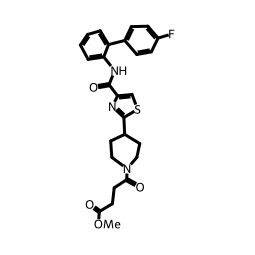 COC(=O)CCC(=O)N1CCC(c2nc(C(=O)Nc3ccccc3-c3ccc(F)cc3)cs2)CC1